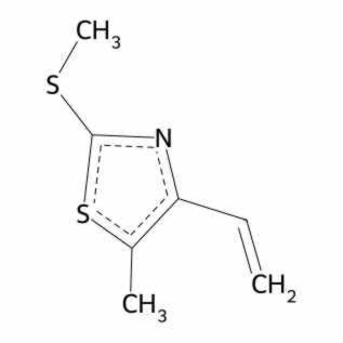 C=Cc1nc(SC)sc1C